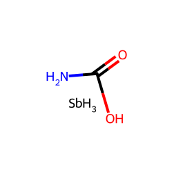 NC(=O)O.[SbH3]